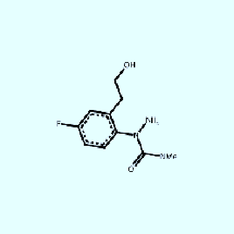 CNC(=O)N(N)c1ccc(F)cc1CCO